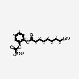 CCCCCCCCCCC(=O)Oc1ccccc1OC(=O)CCCCCCCC(C)(C)C